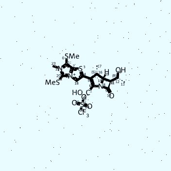 CSc1c2sc(C3=C(C(=O)O)N4C(=O)[C@H]([C@@H](C)O)[C@H]4[C@H]3C)c[n+]2c(SC)n1C.O=S(=O)([O-])C(F)(F)F